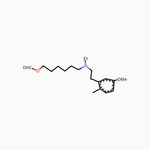 CCN(CCCCCCOC=O)CCc1cc(OC)ccc1C